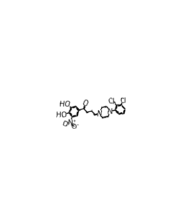 O=C(CCCN1CCN(c2cccc(Cl)c2Cl)CC1)c1cc(O)c(O)c([N+](=O)[O-])c1